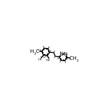 Cc1ccc(CCc2ccc(C)c(I)c2I)nn1